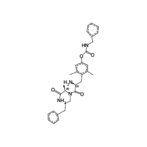 Cc1cc(OC(=O)NCc2ccccc2)cc(C)c1C[C@H](N)C(=O)N(CCCc1ccccc1)[C@H](C)C(N)=O